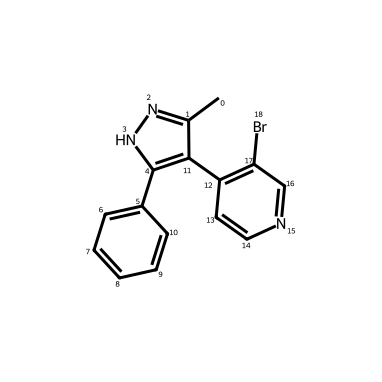 Cc1n[nH]c(-c2ccccc2)c1-c1ccncc1Br